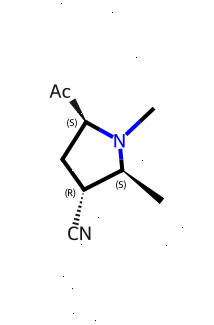 CC(=O)[C@@H]1C[C@@H](C#N)[C@H](C)N1C